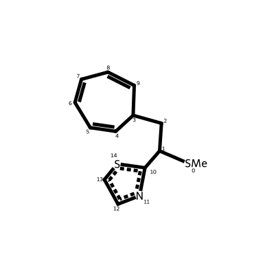 CSC(CC1C=CC=CC=C1)c1nccs1